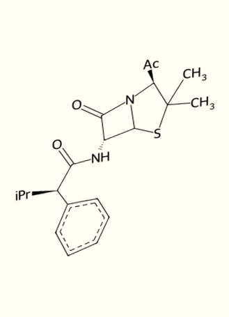 CC(=O)[C@@H]1N2C(=O)[C@@H](NC(=O)[C@@H](c3ccccc3)C(C)C)C2SC1(C)C